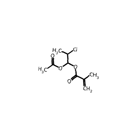 C=C(C)C(=O)OC(OC(C)=O)C(C)Cl